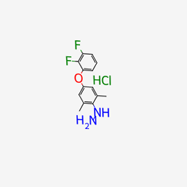 Cc1cc(Oc2cccc(F)c2F)cc(C)c1NN.Cl